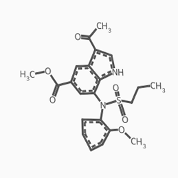 CCCS(=O)(=O)N(c1ccccc1OC)c1cc(C(=O)OC)cc2c(C(C)=O)c[nH]c12